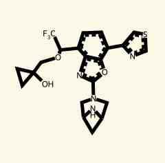 OC1(COC(c2ccc(-c3cscn3)c3oc(N4CC5CC(C4)N5)nc23)C(F)(F)F)CC1